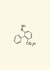 N=Nc1cccc(C(=O)O)c1-c1ccccc1